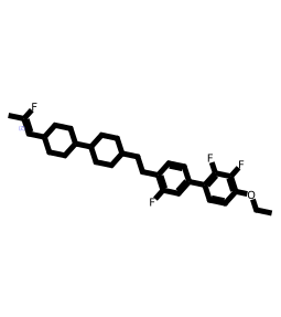 CCOc1ccc(-c2ccc(CCC3CCC(C4CCC(/C=C(/C)F)CC4)CC3)c(F)c2)c(F)c1F